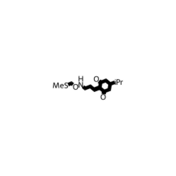 CSCONCCC=C1C(=O)CC(C(C)C)CC1=O